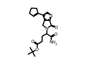 CC(C)(C)OC(=O)CCC(C(N)=O)N1Cc2c(C3=CCCC3)csc2C1=O